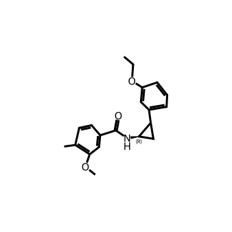 CCOc1cccc(C2C[C@H]2NC(=O)c2ccc(C)c(OC)c2)c1